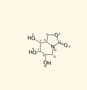 O=C1OCC2C(O)C(O)C(O)CN12